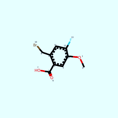 COc1cc(C(=O)O)c(CBr)cc1F